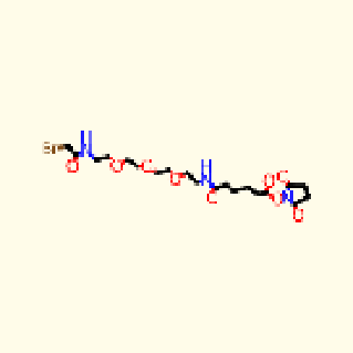 O=C(CBr)NCCOCCOCCOCCNC(=O)CCCCC(=O)ON1C(=O)CCC1=O